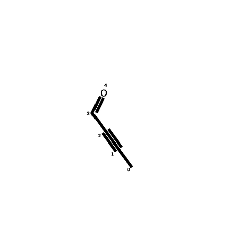 CC#C[C]=O